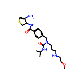 COCCNCCCN(Cc1ccc(C(=O)NC2CSC=C2N)cc1)C(=O)NC(C)C